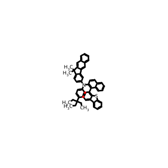 CCC(CC)(CC)c1ccc(N(c2ccc3c(c2)-c2cc4ccccc4cc2C3(C)C)c2ccc3ccccc3c2-c2cccc3c2sc2ccccc23)cc1